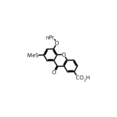 CCCOc1cc(SC)cc2c(=O)c3cc(C(=O)O)ccc3oc12